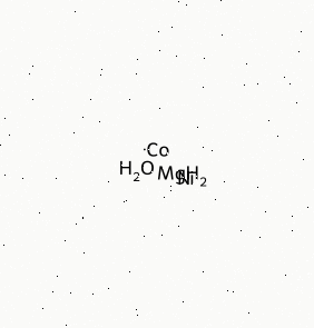 O.[Co].[MgH2].[Ni]